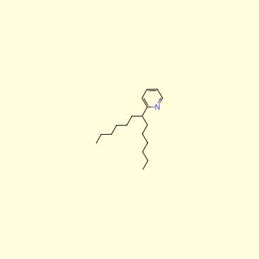 CCCCCCC(CCCCCC)c1ccccn1